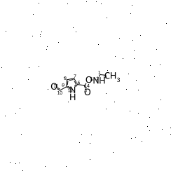 CCNOC(=O)c1ccc(C=O)[nH]1